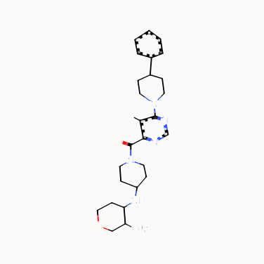 COC1COCCC1NC1CCN(C(=O)c2ncnc(N3CCC(c4ccccc4)CC3)c2C)CC1